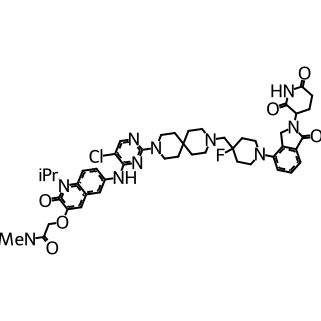 CNC(=O)COc1cc2cc(Nc3nc(N4CCC5(CCN(CC6(F)CCN(c7cccc8c7CN(C7CCC(=O)NC7=O)C8=O)CC6)CC5)CC4)ncc3Cl)ccc2n(C(C)C)c1=O